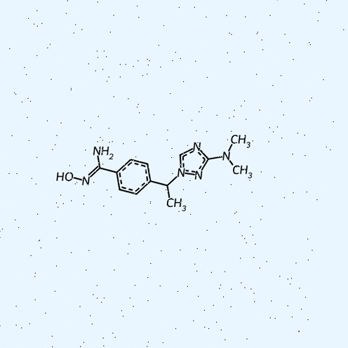 CC(c1ccc(C(N)=NO)cc1)n1cnc(N(C)C)n1